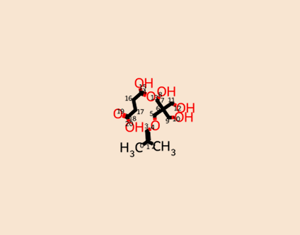 CC(C)=COCC(CO)(CO)CO.O=C(O)CCC(=O)O